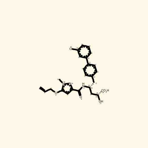 C=CCOc1cc(C(=O)N[C@H](Cc2ccc(-c3cccc(Cl)c3)cc2)C[C@@H](O)C(=O)O)nn1C